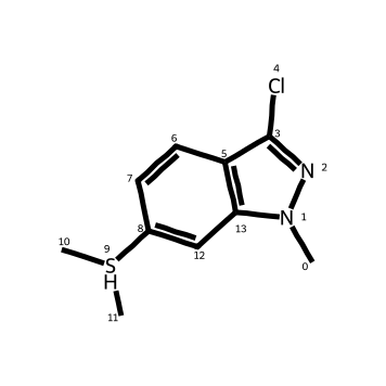 Cn1nc(Cl)c2ccc([SH](C)C)cc21